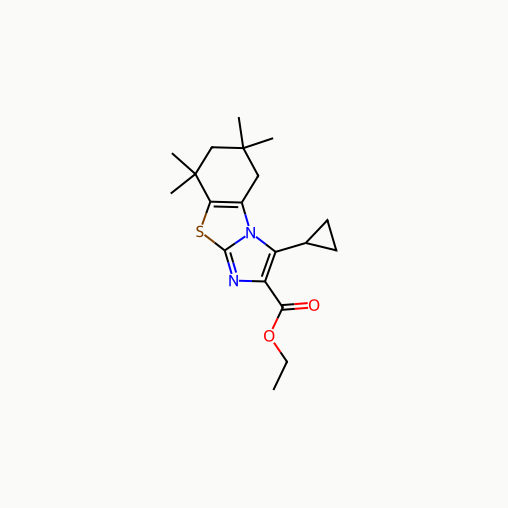 CCOC(=O)c1nc2sc3c(n2c1C1CC1)CC(C)(C)CC3(C)C